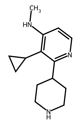 CNc1ccnc(C2CCNCC2)c1C1CC1